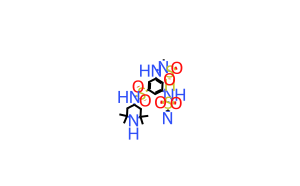 CN(Nc1cc(NS(=O)(=O)C#N)cc(S(=O)(=O)NC2CC(C)(C)NC(C)(C)C2)c1)[SH](=O)=O